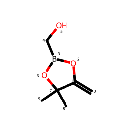 C=C1OB(CO)OC1(C)C